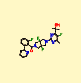 Cc1nc(N2C[C@]3(F)CN(C(=O)c4c(F)cccc4-c4ccccn4)C[C@]3(F)C2)nc(C(C)(C)O)c1F